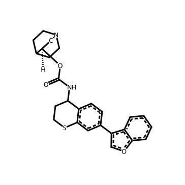 O=C(NC1CCSc2cc(-c3coc4ccccc34)ccc21)O[C@@H]1CN2CCC1CC2